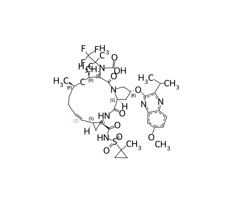 COc1ccc2nc(C(C)C)c(O[C@@H]3C[C@H]4C(=O)N[C@]5(C(=O)NS(=O)(=O)C6(C)CC6)C[C@H]5/C=C\CC[C@@H](C)C[C@@H](C)[C@H](N(C(=O)O)C(C)(C)C(F)(F)F)C(=O)N4C3)nc2c1